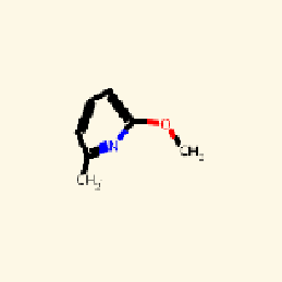 [CH2]c1cccc(OC)n1